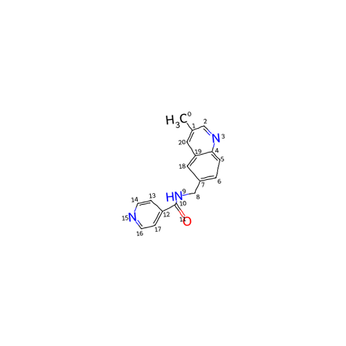 Cc1cnc2ccc(CNC(=O)c3ccncc3)cc2c1